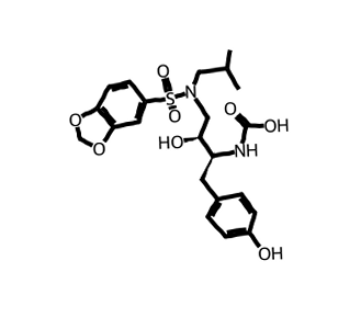 CC(C)CN(C[C@H](O)[C@H](Cc1ccc(O)cc1)NC(=O)O)S(=O)(=O)c1ccc2c(c1)OCO2